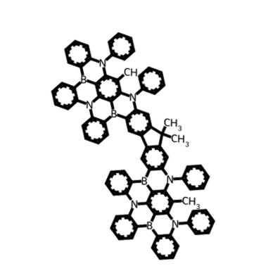 Cc1c2c3c4c5c1N(c1ccccc1)c1cc6c(cc1B5c1ccccc1N4c1ccccc1B3c1ccccc1N2c1ccccc1)-c1cc2c(cc1C6(C)C)N(c1ccccc1)c1c(C)c3c4c5c1B2c1ccccc1N5c1ccccc1B4c1ccccc1N3c1ccccc1